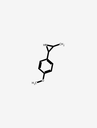 [CH2]C1NC1c1ccc(OC)cc1